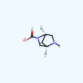 CN1C[C@H]2C[C@@H]1CN2C(=O)O